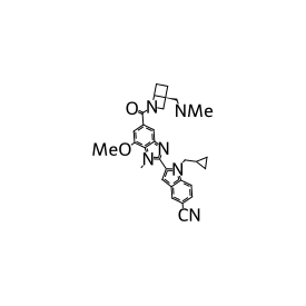 CNC[C@]12CCC1N(C(=O)c1cc(OC)c3c(c1)nc(-c1cc4cc(C#N)ccc4n1CC1CC1)n3C)C2